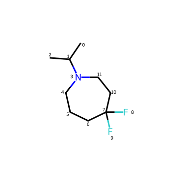 CC(C)N1CCCC(F)(F)CC1